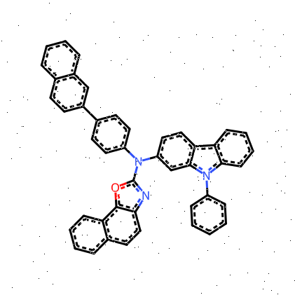 c1ccc(-n2c3ccccc3c3ccc(N(c4ccc(-c5ccc6ccccc6c5)cc4)c4nc5ccc6ccccc6c5o4)cc32)cc1